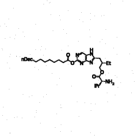 CCCCCCCCCCCCCCCCCC(=O)Oc1ncc2[nH]c(CC(CC)COC(=O)[C@@H](N)C(C)C)nc2n1